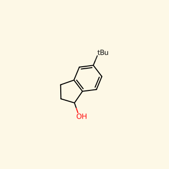 CC(C)(C)c1ccc2c(c1)CCC2O